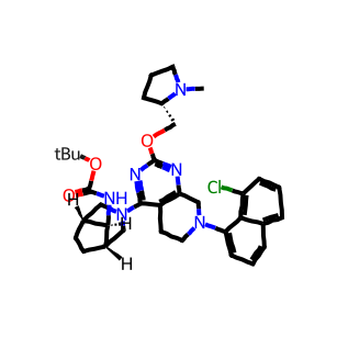 CN1CCC[C@H]1COc1nc2c(c(N3C[C@H]4CC[C@@H](C3)[C@@H]4NC(=O)OC(C)(C)C)n1)CCN(c1cccc3cccc(Cl)c13)C2